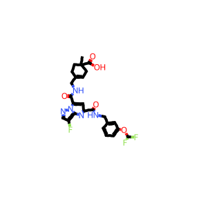 CC1(C(=O)O)CC=C(CNC(=O)c2cc(C(=O)NCc3cccc(OC(F)F)c3)nc3c(F)cnn23)CC1